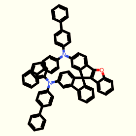 c1ccc(-c2ccc(N(c3ccccc3)c3ccc4c(c3)-c3ccccc3C43c4cc(N(c5ccc(-c6ccccc6)cc5)c5ccc(-c6ccccc6)cc5)ccc4-c4oc5ccccc5c43)cc2)cc1